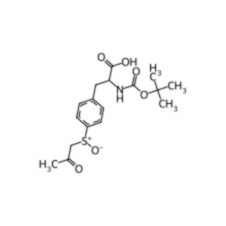 CC(=O)C[S+]([O-])c1ccc(CC(NC(=O)OC(C)(C)C)C(=O)O)cc1